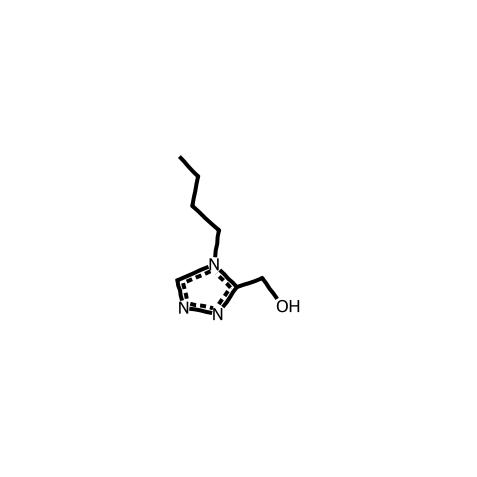 CCCCn1cnnc1CO